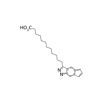 O=C(O)CCCCCCCCCCCC1=NN=c2cc3c(cc21)=CC=C3